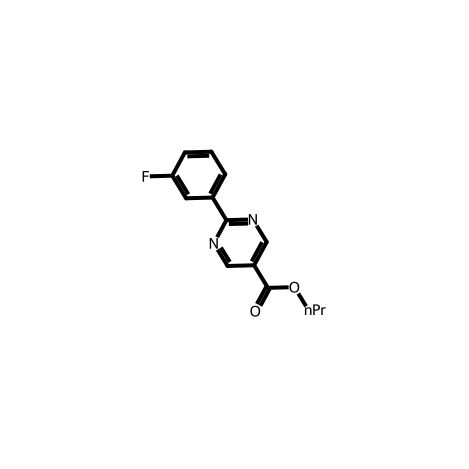 [CH2]CCOC(=O)c1cnc(-c2cccc(F)c2)nc1